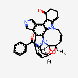 CO[C@@H]1[C@]2(C)/C=C\Cn3c4c(c5c6c(c7c(c53)[N@+]1(N(C)C(=O)c1ccccc1)C1=C7C=C[C@@H](C1)O2)C=NC=6)C(=O)CCC=4